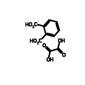 O=C(O)C(=O)O.O=C(O)c1ccccc1C(=O)O